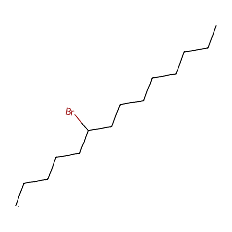 [CH2]CCCCC(Br)CCCCCCCC